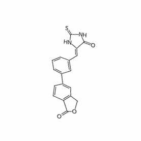 O=C1NC(=S)N/C1=C\c1cccc(-c2ccc3c(c2)COC3=O)c1